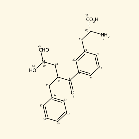 N[C@H](Cc1cccc(C(=O)C(Cc2ccccc2)CN(O)C=O)c1)C(=O)O